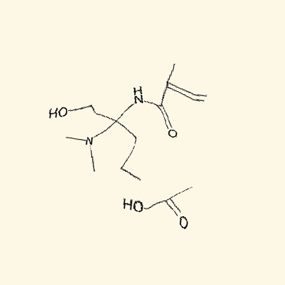 C=C(C)C(=O)NC(CO)(CCC)N(C)C.CC(=O)O